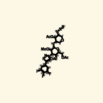 COC1C(SC2COCC(N=[N+]=[N-])C2OC(C)=O)OC(COC(C)=O)C(OC(C)=O)C1n1cc(-c2cc(F)c(F)c(F)c2)nn1